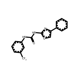 O=C(Nc1cccc(C(F)(F)F)c1)Nc1nc(-c2ccccc2)co1